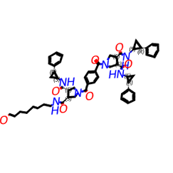 O=C(NCCCCCCCCO)[C@@H]1CN(C(=O)c2ccc(C(=O)N3C[C@@H](C(=O)N[C@H]4C[C@@H]4c4ccccc4)[C@H](C(=O)N[C@H]4C[C@@H]4c4ccccc4)C3)cc2)C[C@H]1C(=O)N[C@H]1C[C@@H]1c1ccccc1